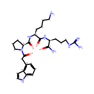 N=C(N)NCCC[C@H](NC(=O)[C@H](CCCCN)NC(=O)[C@@H]1CCCN1C(=O)Cc1cccc2[nH]ccc12)C(N)=O